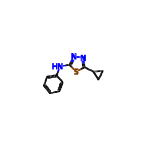 c1ccc(Nc2nnc(C3CC3)s2)cc1